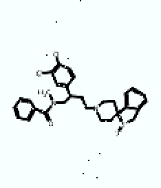 CN(CC(CCN1CCC2(CC1)c1ccccc1C[S+]2[O-])c1ccc(Cl)c(Cl)c1)C(=O)c1ccccc1